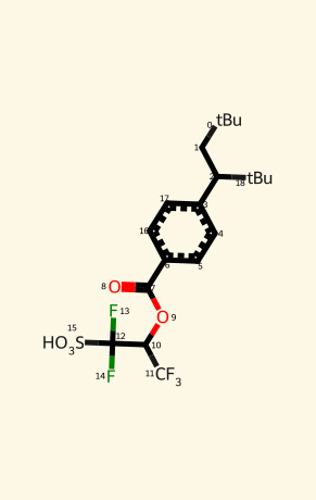 CC(C)(C)CC(c1ccc(C(=O)OC(C(F)(F)F)C(F)(F)S(=O)(=O)O)cc1)C(C)(C)C